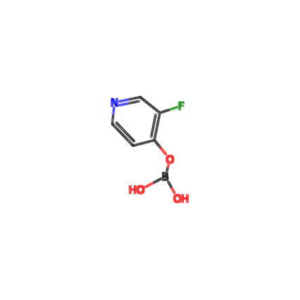 OB(O)Oc1ccncc1F